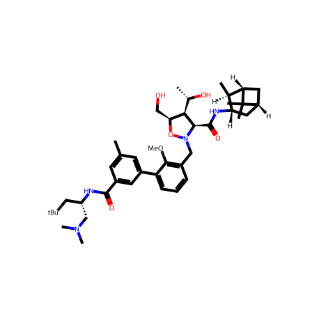 COc1c(CN2O[C@@H](CO)[C@@H]([C@H](C)O)[C@H]2C(=O)N[C@H]2C[C@H]3C[C@@H]([C@@H]2C)C3(C)C)cccc1-c1cc(C)cc(C(=O)N[C@H](CN(C)C)CC(C)(C)C)c1